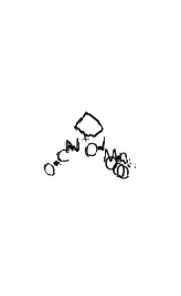 C[C](=O)[Mn].[C-]#[N+]C1CCCCC1.[C]=O.[C]=O.[C]=O.[C]=O